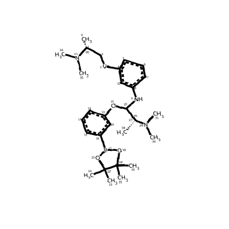 C[C@H](COc1cccc(NC(Oc2cccc(B3OC(C)(C)C(C)(C)O3)c2)[C@@H](C)N(C)C)c1)N(C)C